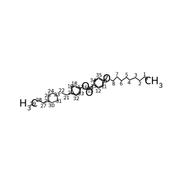 CCCCCCCCCOc1ccc(C(=O)Oc2ccc(CC[C@H]3CC[C@H](CCC)CC3)cc2)cc1